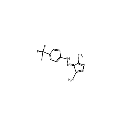 CC1=NN=C(N)/C1=N/Nc1ccc(C(F)(F)F)cc1